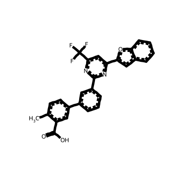 Cc1ccc(-c2cccc(-c3nc(-c4cc5ccccc5o4)cc(C(F)(F)F)n3)c2)cc1C(=O)O